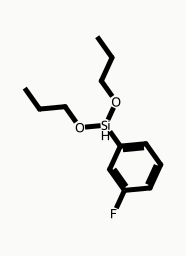 CCCO[SiH](OCCC)c1cccc(F)c1